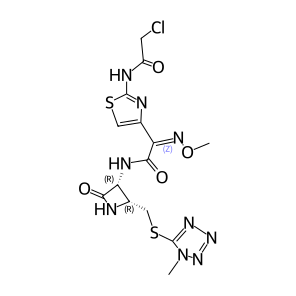 CO/N=C(\C(=O)N[C@H]1C(=O)N[C@H]1CSc1nnnn1C)c1csc(NC(=O)CCl)n1